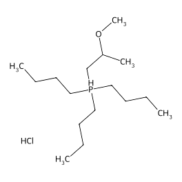 CCCC[PH](CCCC)(CCCC)CC(C)OC.Cl